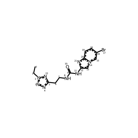 CCn1nnc(CCNC(=O)Nc2cn3cc(Br)ccc3n2)n1